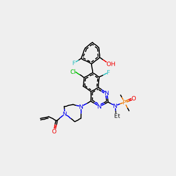 C=CC(=O)N1CCN(c2nc(N(CC)P(C)(C)=O)nc3c(F)c(-c4c(O)cccc4F)c(Cl)cc23)CC1